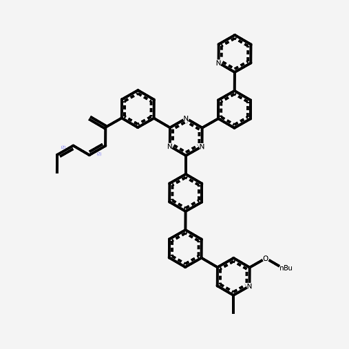 C=C(/C=C\C=C/C)c1cccc(-c2nc(-c3ccc(-c4cccc(-c5cc(C)nc(OCCCC)c5)c4)cc3)nc(-c3cccc(-c4ccccn4)c3)n2)c1